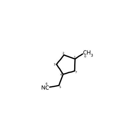 CC1CCC(CC#N)C1